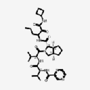 CCCC(NC(=O)[C@@H]1[C@H]2CCC[C@H]2CN1C(=O)[C@@H](NC(=O)[C@@H](NC(=O)c1cnccn1)C(C)C)C(C)C)C(=O)C(=O)NC1CCC1